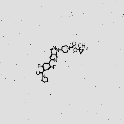 CC1(OC(=O)N2CCC(n3ncc4cc(-c5cc(F)c(C(=O)N6CCCC6)cc5F)ncc43)CC2)CC1